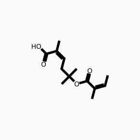 CC=C(C)C(=O)OC(C)(C)CC=C(C)C(=O)O